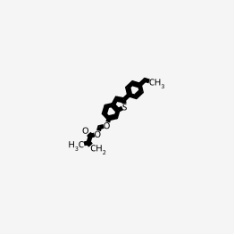 C=C(C)C(=O)OCOc1ccc2cc(-c3ccc(CC)cc3)sc2c1